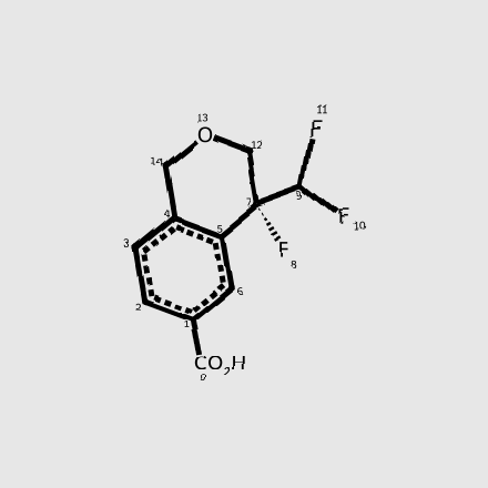 O=C(O)c1ccc2c(c1)[C@](F)(C(F)F)COC2